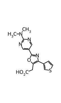 CN(C)c1ncc(-c2nc(-c3ccsc3)c(CC(=O)O)o2)cn1